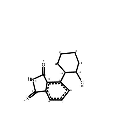 O=C1NC(=S)c2cccc(C3CCCCC3Cl)c21